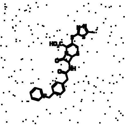 Cc1nnc(SC2=C(C(=O)O)N3C(=O)C(NC(=O)Cc4ccc(C[n+]5ccccc5)cc4)C3SC2)s1